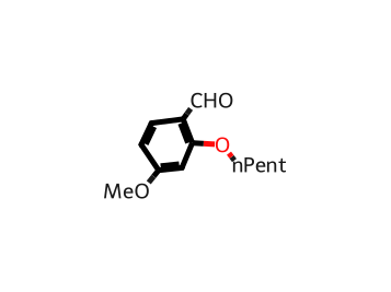 CCCCCOc1cc(OC)ccc1C=O